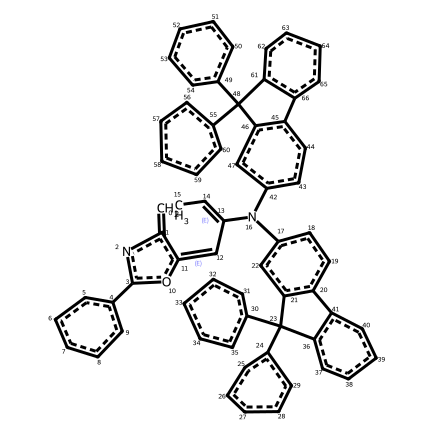 C=c1nc(-c2ccccc2)o/c1=C/C(=C\C)N(c1ccc2c(c1)C(c1ccccc1)(c1ccccc1)c1ccccc1-2)c1ccc2c(c1)C(c1ccccc1)(c1ccccc1)c1ccccc1-2